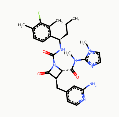 CCC[C@@H](NC(=O)N1C(=O)[C@H](Cc2ccnc(N)c2)[C@H]1C(=O)N(C)c1nccn1C)c1ccc(C)c(F)c1C